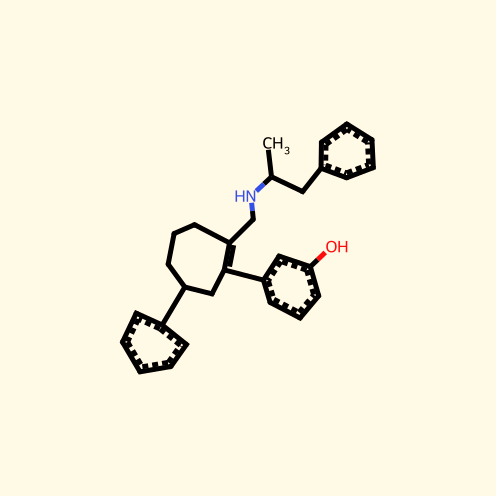 CC(Cc1ccccc1)NCC1=C(c2cccc(O)c2)CC(c2ccccc2)CCC1